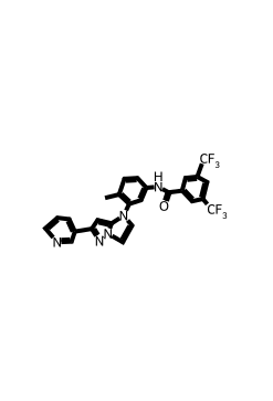 Cc1ccc(NC(=O)c2cc(C(F)(F)F)cc(C(F)(F)F)c2)cc1-n1ccn2nc(-c3cccnc3)cc12